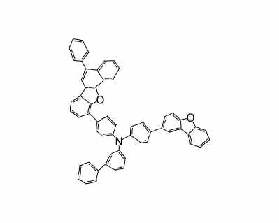 c1ccc(-c2cccc(N(c3ccc(-c4ccc5oc6ccccc6c5c4)cc3)c3ccc(-c4cccc5c4oc4c6ccccc6c(-c6ccccc6)cc54)cc3)c2)cc1